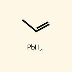 C=CC.[PbH4]